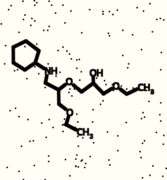 CCOCC(O)COC(CNC1CCCCC1)COCC